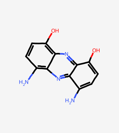 Nc1ccc(O)c2nc3c(O)ccc(N)c3nc12